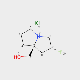 Cl.OC[C@@]12CCCN1C[C@H](F)C2